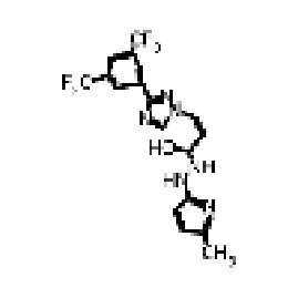 Cc1ccc(NNC(O)/C=C\n2cnc(-c3cc(C(F)(F)F)cc(C(F)(F)F)c3)n2)nc1